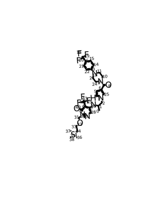 CC(Cn1ccc(C(=O)N2CCN(c3ccc(C(F)(F)F)cc3)CC2)c1)Nc1cnn(COCC[Si](C)(C)C)c(=O)c1C(F)(F)F